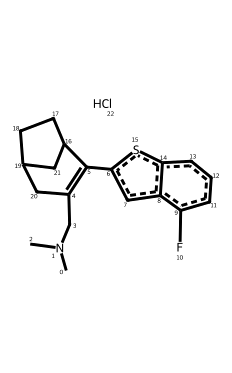 CN(C)CC1=C(c2cc3c(F)cccc3s2)C2CCC(C1)C2.Cl